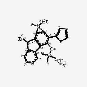 CC[Si]1(C)c2c(C3=CC=CC3)c(O[Si](C)(C)C)c3c(c21)[CH]([Zr+2])c1ccccc1-3.[Cl-].[Cl-]